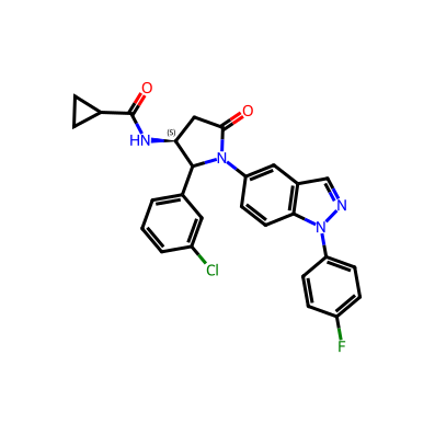 O=C(N[C@H]1CC(=O)N(c2ccc3c(cnn3-c3ccc(F)cc3)c2)C1c1cccc(Cl)c1)C1CC1